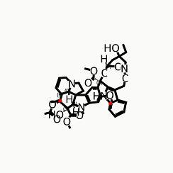 CCC1(O)C[C@H]2CN(CCc3c([nH]c4ccccc34)[C@@](C(=O)OC)(c3cc4c(cc3OC)N(C)[C@@H]3C45CCN4CC=C[C@](CC)([C@H]45)[C@@H](OC(C)=O)[C@]3(O)C(=O)OC)C2)C1